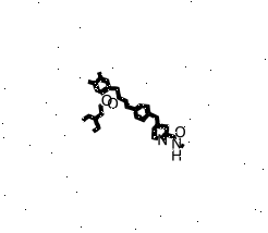 CCC(CC)CCOc1cc(C)c(C)cc1CC(=O)CCc1ccc(Cc2ccnc(C(=O)NC)c2)cc1